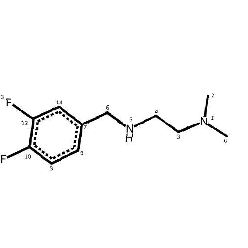 CN(C)CCNCc1ccc(F)c(F)c1